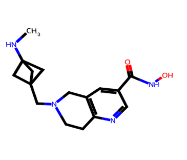 CNC12CC(CN3CCc4ncc(C(=O)NO)cc4C3)(C1)C2